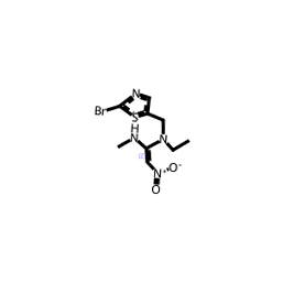 CCN(Cc1cnc(Br)s1)/C(=C\[N+](=O)[O-])NC